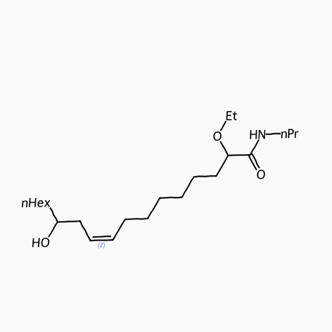 [CH2]CCNC(=O)C(CCCCCC/C=C\CC(O)CCCCCC)OCC